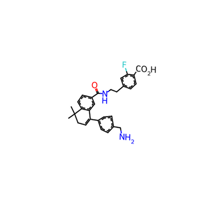 CC1(C)CC=C(c2ccc(CN)cc2)c2cc(C(=O)NCCc3ccc(C(=O)O)c(F)c3)ccc21